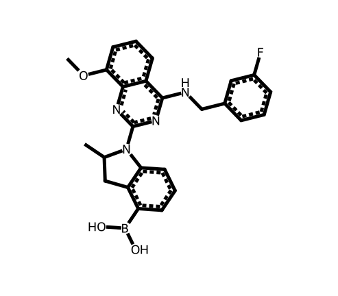 COc1cccc2c(NCc3cccc(F)c3)nc(N3c4cccc(B(O)O)c4CC3C)nc12